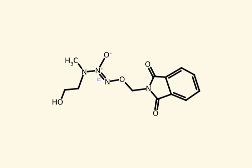 CN(CCO)/[N+]([O-])=N/OCN1C(=O)c2ccccc2C1=O